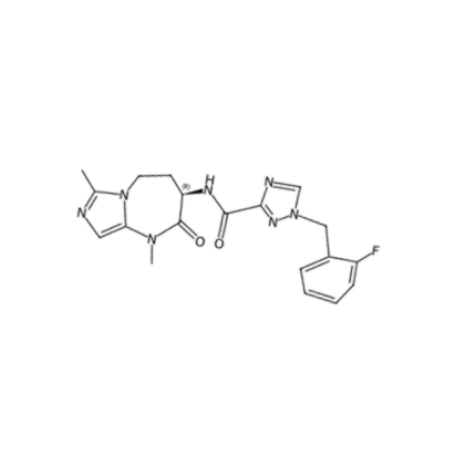 Cc1ncc2n1CC[C@@H](NC(=O)c1ncn(Cc3ccccc3F)n1)C(=O)N2C